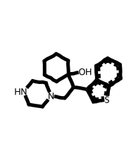 OC1(C(CN2CCNCC2)c2csc3ccccc23)CCCCC1